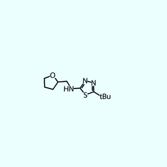 CC(C)(C)c1nnc(NCC2CCCO2)s1